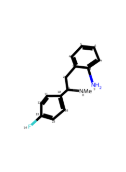 CNC(Cc1ccccc1N)c1ccc(F)cc1